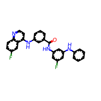 O=C(Nc1cc(F)cc(Nc2ccccc2)c1)c1cccc(Nc2ccnc3ccc(F)cc23)c1